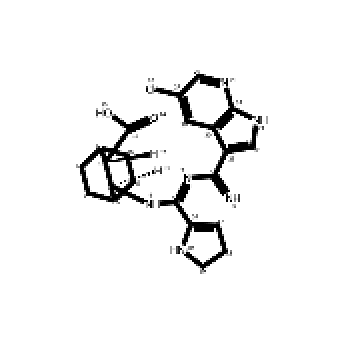 N=C(/N=C(/N[C@H]1C2CCC(CC2)[C@@H]1C(=O)O)C1=CCCN1)c1c[nH]c2ncc(Cl)cc12